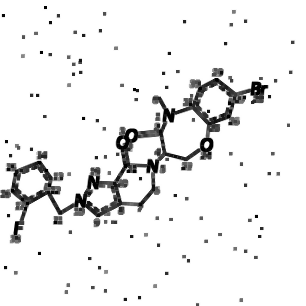 CN1C(=O)C(N2CCc3cn(Cc4ccccc4F)nc3C2=O)COc2cc(Br)ccc21